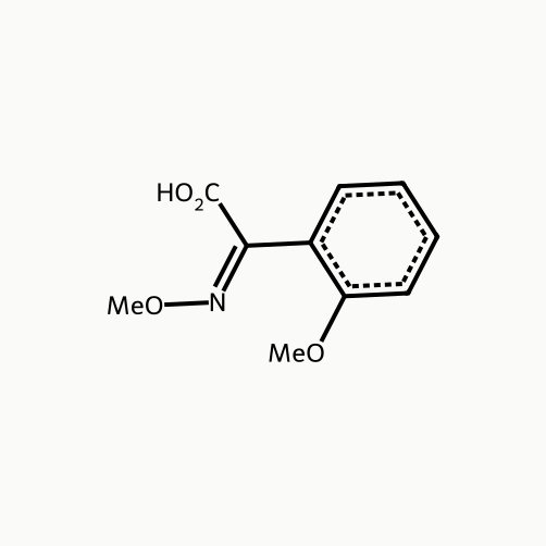 CON=C(C(=O)O)c1ccccc1OC